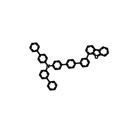 c1ccc(-c2ccc(N(c3ccc(-c4ccc(-c5cccc(-c6cccc7c6oc6ccccc67)c5)cc4)cc3)c3cccc(-c4ccccc4)c3)cc2)cc1